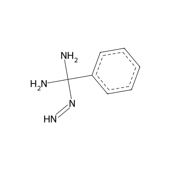 N=NC(N)(N)c1ccccc1